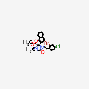 COC(=O)[C@@H]1[C@@H](c2ccc3ccccc3c2)N(CCc2ccc(Cl)cc2Br)C(=O)CN1C